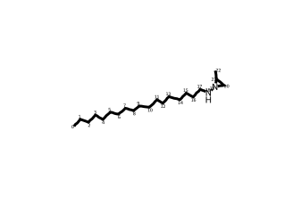 CCCCCCCCCCCCCCCCCCNN1CC1C